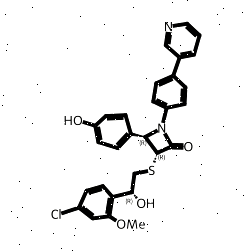 COc1cc(Cl)ccc1[C@@H](O)CS[C@H]1C(=O)N(c2ccc(-c3cccnc3)cc2)[C@@H]1c1ccc(O)cc1